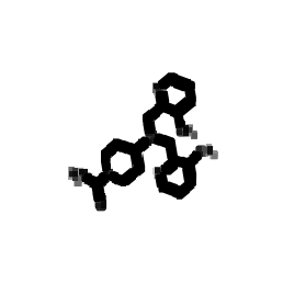 Cc1cccnc1CN(Cc1ncccc1C)C1CCN(C(N)=O)CC1